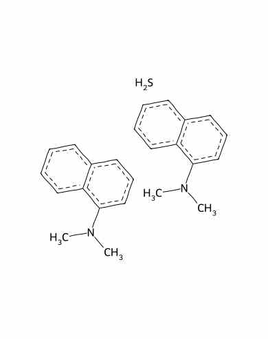 CN(C)c1cccc2ccccc12.CN(C)c1cccc2ccccc12.S